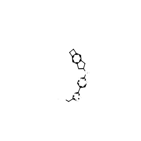 O=C(O)Cc1nnc(-c2cnc(NC3Cc4cc5c(cc4C3)CC5)nc2)o1